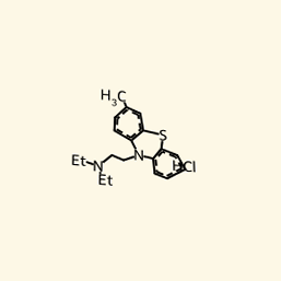 CCN(CC)CCN1c2ccccc2Sc2cc(C)ccc21.Cl